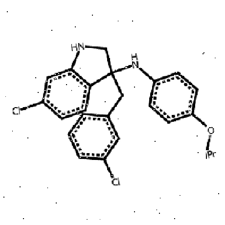 CC(C)Oc1ccc(NC2(Cc3cccc(Cl)c3)CNc3cc(Cl)ccc32)cc1